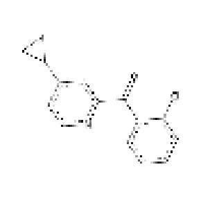 O=C(c1cc(C2CC2)ccn1)c1ccccc1Cl